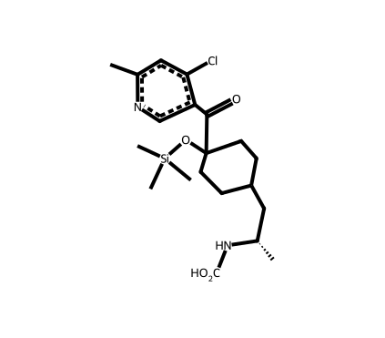 Cc1cc(Cl)c(C(=O)C2(O[Si](C)(C)C)CCC(C[C@H](C)NC(=O)O)CC2)cn1